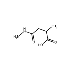 CC(CC(=O)NN)C(=O)O